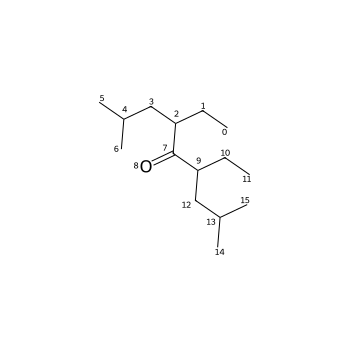 CCC(CC(C)C)C(=O)C(CC)CC(C)C